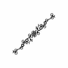 C=C(C)C(=O)OCCCCOc1ccc(C(=O)Nc2ccc(/C=C(\C#N)C(=O)O[C@@H]3CO[C@H]4[C@@H]3OC[C@@H]4OC(=O)/C(C#N)=C/c3ccc(NC(=O)c4ccc(OCCCCOC(=O)C(C)C)cc4)cc3)cc2)cc1